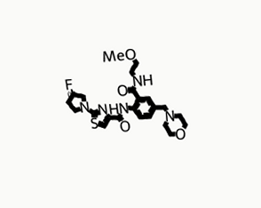 COCCNC(=O)c1cc(CN2CCOCC2)ccc1NC(=O)c1csc(N2CC[C@H](F)C2)n1